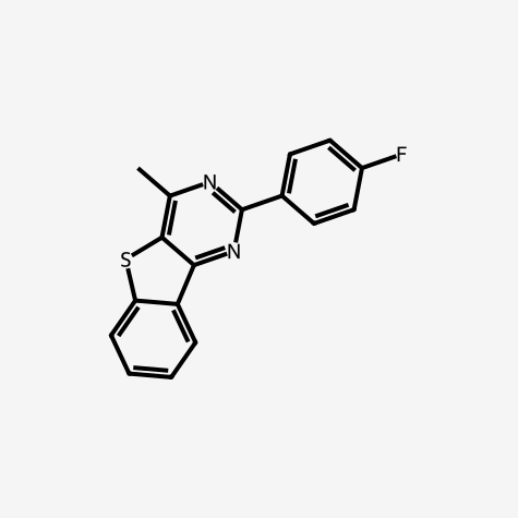 Cc1nc(-c2ccc(F)cc2)nc2c1sc1ccccc12